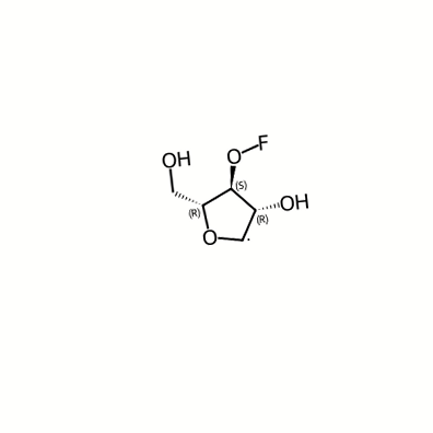 OC[C@H]1O[CH][C@@H](O)[C@@H]1OF